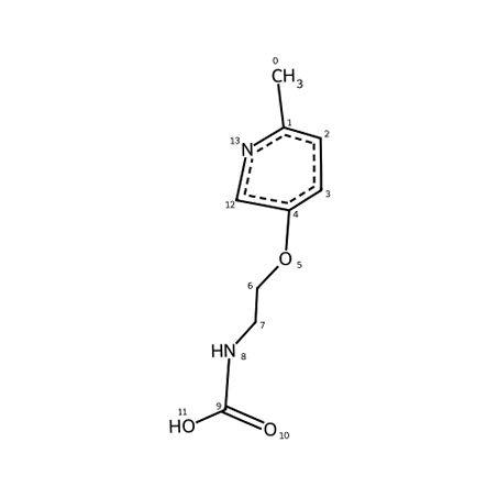 Cc1ccc(OCCNC(=O)O)cn1